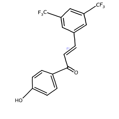 O=C(/C=C/c1cc(C(F)(F)F)cc(C(F)(F)F)c1)c1ccc(O)cc1